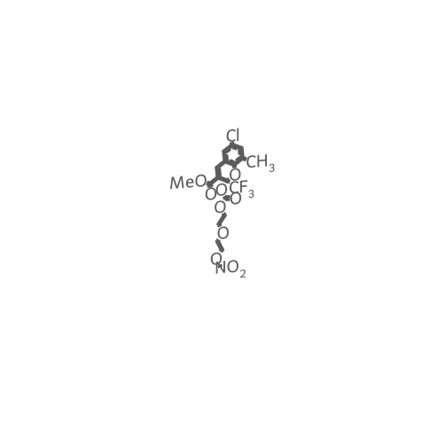 COC(=O)C1=Cc2cc(Cl)cc(C)c2O[C@]1(OC(=O)OCCOCCO[N+](=O)[O-])C(F)(F)F